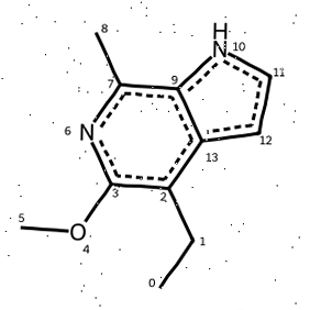 CCc1c(OC)nc(C)c2[nH]ccc12